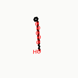 OCCCCCOCCOCCOCCOCCOCc1ccccc1